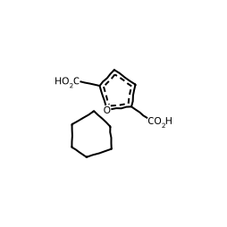 C1CCCCC1.O=C(O)c1ccc(C(=O)O)o1